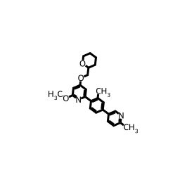 COc1cc(OCC2CCCCO2)cc(-c2ccc(-c3ccc(C)nc3)cc2C)n1